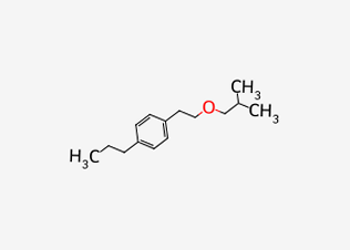 CCCc1ccc(CCOCC(C)C)cc1